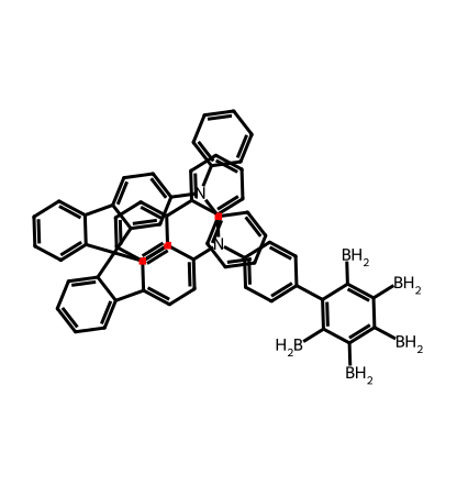 Bc1c(B)c(B)c(-c2ccc(N(c3ccc4c(c3)C3(c5ccccc5-c5ccc(N(c6ccccc6)c6ccccc6)cc53)c3ccccc3-4)c3ccccc3-c3ccccc3)cc2)c(B)c1B